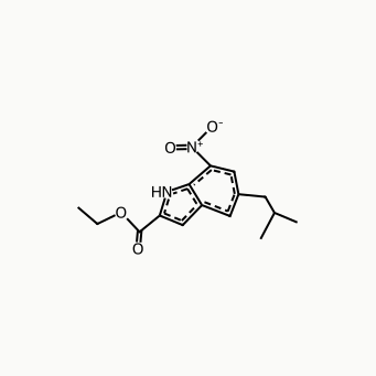 CCOC(=O)c1cc2cc(CC(C)C)cc([N+](=O)[O-])c2[nH]1